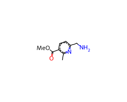 COC(=O)c1ccc(CN)nc1C